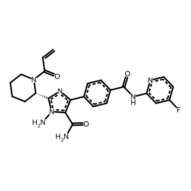 C=CC(=O)N1CCCC[C@H]1c1nc(-c2ccc(C(=O)Nc3cc(F)ccn3)cc2)c(C(N)=O)n1N